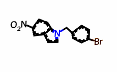 O=[N+]([O-])c1ccc2c(ccn2Cc2ccc(Br)cc2)c1